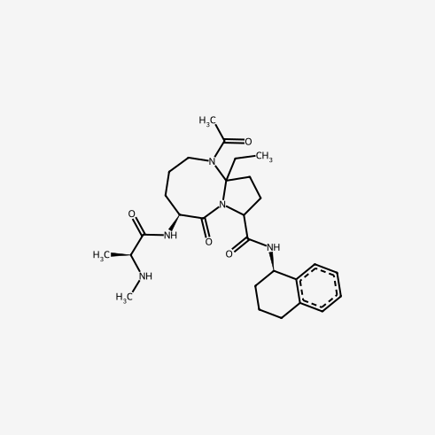 CCC12CCC(C(=O)N[C@@H]3CCCc4ccccc43)N1C(=O)[C@@H](NC(=O)[C@H](C)NC)CCCN2C(C)=O